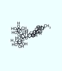 C[C@@H]1CC[C@@]2(NC1)O[C@H]1C[C@H]3[C@@H]4CC=C5C[C@@H](O[C@@H]6O[C@H](CO)[C@@H](O[C@@H]7O[C@@H](C)[C@H](O)[C@@H](O)[C@H]7O)[C@H](O)[C@H]6O[C@@H]6O[C@@H](C)[C@H](O)[C@@H](O)[C@H]6O)CC[C@]5(C)[C@H]4CC[C@]3(C)[C@H]1[C@@H]2C